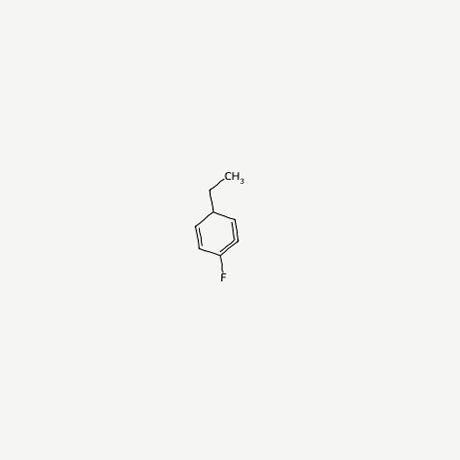 CCC1C=C=C(F)C=C1